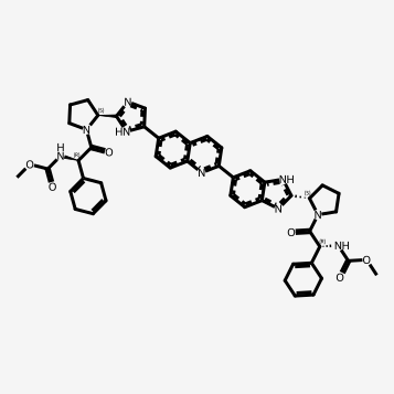 COC(=O)N[C@@H](C(=O)N1CCC[C@H]1c1ncc(-c2ccc3nc(-c4ccc5nc([C@@H]6CCCN6C(=O)[C@H](NC(=O)OC)C6=CCC=CC6)[nH]c5c4)ccc3c2)[nH]1)C1=CCC=CC1